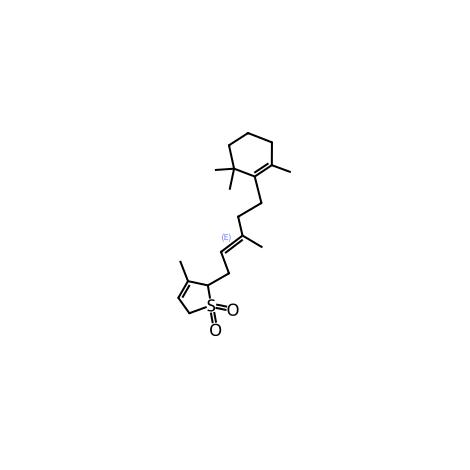 CC1=CCS(=O)(=O)C1C/C=C(\C)CCC1=C(C)CCCC1(C)C